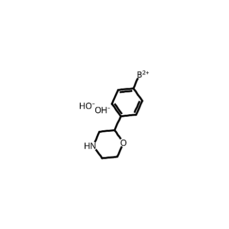 [B+2]c1ccc(C2CNCCO2)cc1.[OH-].[OH-]